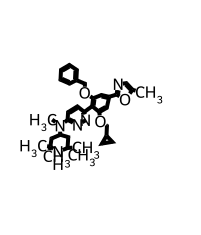 Cc1cnc(-c2cc(OCc3ccccc3)c(-c3ccc(N(C)C4CC(C)(C)NC(C)(C)C4)nn3)c(OCC3CC3)c2)o1